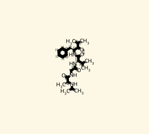 CC(C)N[C@@H](C)C(=O)NCC(=O)N[C@H](C(=O)N[C@@H](Cc1ccccc1)C(=O)C(C)C)C(C)C